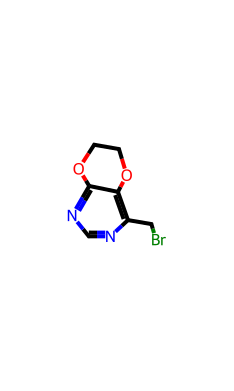 BrCc1ncnc2c1OCCO2